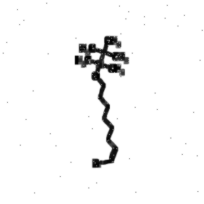 CC(C)(C)[Si](C)(C)OCCCCCC/C=C\Br